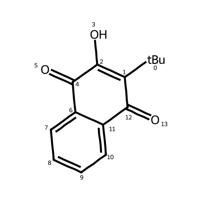 CC(C)(C)C1=C(O)C(=O)c2ccccc2C1=O